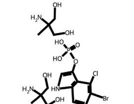 CC(N)(CO)CO.CC(N)(CO)CO.O=P(O)(O)Oc1c[nH]c2ccc(Br)c(Cl)c12